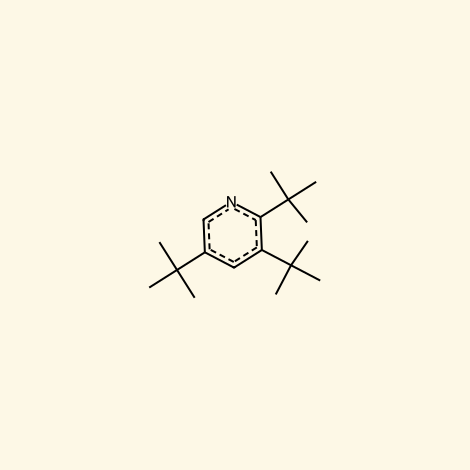 CC(C)(C)c1cnc(C(C)(C)C)c(C(C)(C)C)c1